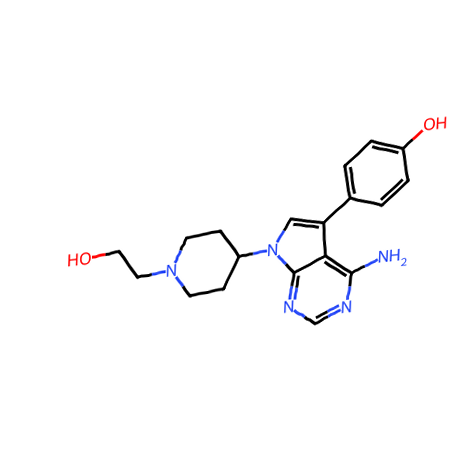 Nc1ncnc2c1c(-c1ccc(O)cc1)cn2C1CCN(CCO)CC1